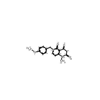 COc1ccc(Cn2ccc3c(c2=O)C(=O)CC(=O)N3C)cc1